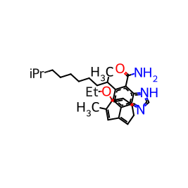 CCOC1=C/CC/C=C(c2cc(C(C)CCCCCCC(C)C)c(C(N)=O)c3[nH]cnc23)/C=C\1C